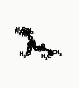 COC1CCC([C@@H]2CCN(C(=O)C3CCC([C@@H](CF)NC(=O)OC(C)(C)C)CC3)[C@H]2C(=O)Nc2ccc3oc(C(=O)OCCCN4C[C@@H](C)O[C@@H](C)C4)cc3c2)CC1